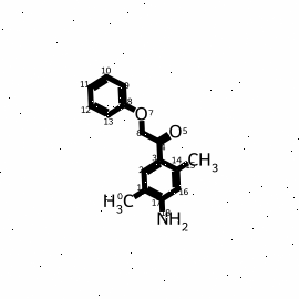 Cc1cc(C(=O)COc2ccccc2)c(C)cc1N